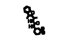 Cc1c(C(C)NC(=O)NC2CCCS(=O)(=O)C2)oc2ccccc12